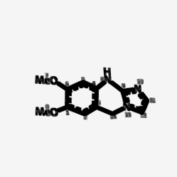 COc1cc2c(cc1OC)Nc1nccn1C2